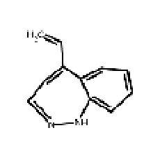 C=CC1=CC=NNc2ccccc21